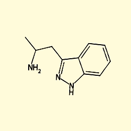 CC(N)Cc1n[nH]c2ccccc12